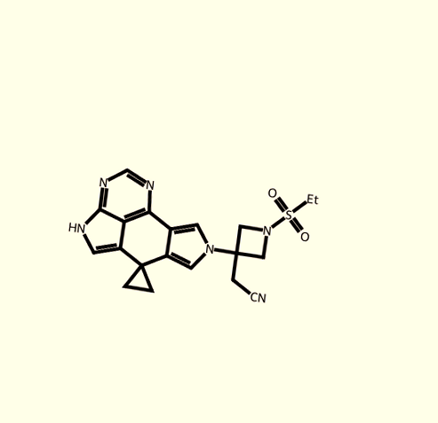 CCS(=O)(=O)N1CC(CC#N)(n2cc3c(c2)C2(CC2)c2c[nH]c4ncnc-3c24)C1